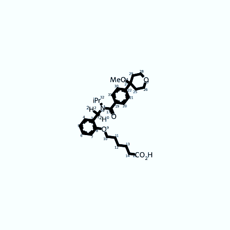 [2H]C([2H])(c1ccccc1OCCCCCC(=O)O)N(C(=O)c1ccc(C2(OC)CCOCC2)cc1)C(C)C